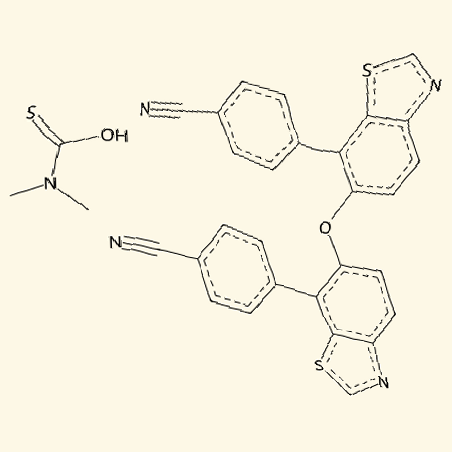 CN(C)C(O)=S.N#Cc1ccc(-c2c(Oc3ccc4ncsc4c3-c3ccc(C#N)cc3)ccc3ncsc23)cc1